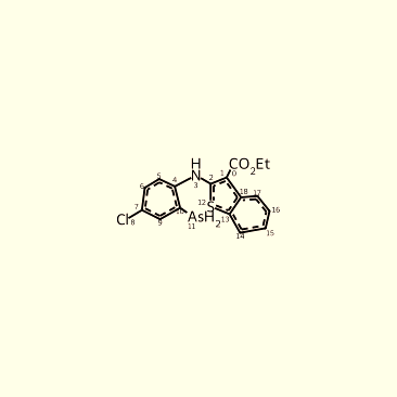 CCOC(=O)c1c(Nc2ccc(Cl)cc2[AsH2])sc2ccccc12